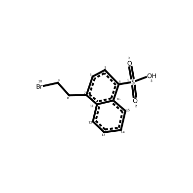 O=S(=O)(O)c1ccc(CCBr)c2ccccc12